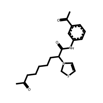 CC(=O)CCCCCC(C(=O)Nc1cccc(C(C)=O)c1)N1C=CSC1